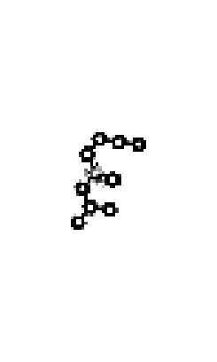 c1ccc(-c2ccc(-c3cccc(-c4cccc(-c5nc(-c6cccc(-c7cc(-c8ccccc8)cc(-c8ccccc8)c7)c6)c6oc7ccccc7c6n5)c4)c3)cc2)cc1